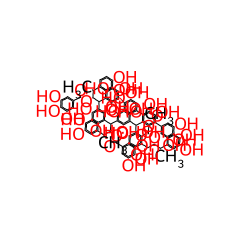 CC(c1ccc(O)c(O)c1)C(Cc1c(O)cc(O)c(C(c2c(O)cc(O)c(C(c3c(O)cc(O)c(C(c4c(O)cc(O)cc4O)C(OC(=O)c4cc(O)c(O)c(O)c4)C(C)c4ccc(O)c(O)c4)c3O)C(OC(=O)c3cc(O)c(O)c(O)c3)C(C)c3ccc(O)c(O)c3)c2O)C(OC(=O)c2cc(O)c(O)c(O)c2)C(C)c2ccc(O)c(O)c2)c1O)OC(=O)c1cc(O)c(O)c(O)c1